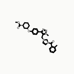 [CH2]c1ccccc1C(=O)N1C=CN(Cc2c(-c3ccc(O[C@H]4CCC[C@H](C(=O)OC)C4)cc3)nnn2C)C1